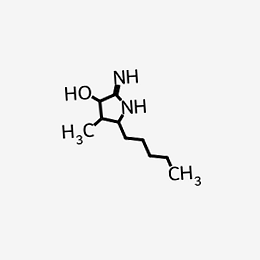 CCCCCC1NC(=N)C(O)C1C